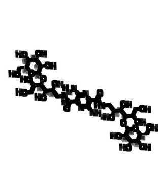 Nc1nc(C(=O)NC[C@H](O)[C@@H](O)[C@H](O[C@@H]2O[C@H](CO)[C@@H](O)[C@H](O)[C@H]2O)C(O)CO)c(N)nc1C(=O)NC[C@H](O)[C@@H](O)[C@H](O[C@@H]1O[C@H](CO)[C@@H](O)[C@H](O)[C@H]1O)C(O)CO